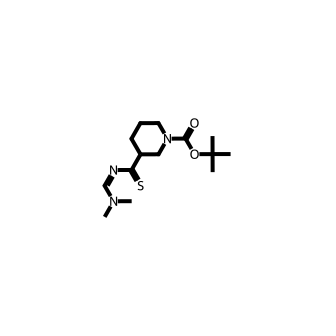 CN(C)/C=N\C(=S)C1CCCN(C(=O)OC(C)(C)C)C1